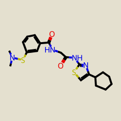 CN(C)Sc1cccc(C(=O)NCC(=O)Nc2nc(C3CCCCC3)cs2)c1